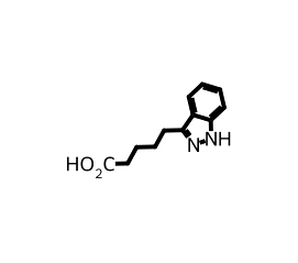 O=C(O)CCCCc1n[nH]c2ccccc12